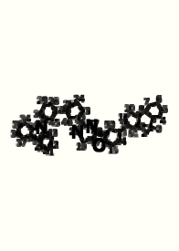 CC1(C)c2ccccc2-c2ccc(-c3ccc4oc5cnc(-c6cccc(-c7cccc(-n8c9ccccc9c9ccccc98)c7)c6)nc5c4c3)cc21